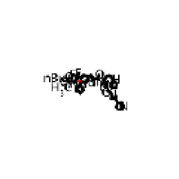 CCCCOC(=O)[C@H](C)NP(=O)(Oc1ccccc1)C(F)(F)c1ccc2sc(C(=O)N[C@H]3CCC[C@H]4CC[C@@H](C(=O)N5CC(c6cccnc6)C5)N4C3=O)cc2c1